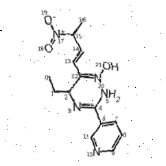 CCC(N=C(N)c1cccnc1)C(C=CC(C)[N+](=O)[O-])=NO